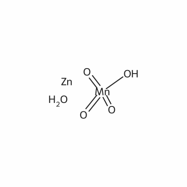 O.[O]=[Mn](=[O])(=[O])[OH].[Zn]